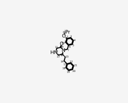 CC(C)Oc1cccc(CN2C(=O)CNC[C@@H]2CCc2ccccc2)c1